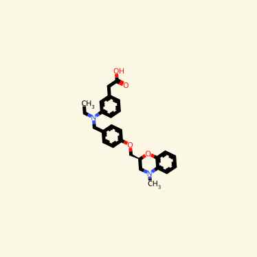 CCN(Cc1ccc(OC[C@@H]2CN(C)c3ccccc3O2)cc1)c1cccc(CC(=O)O)c1